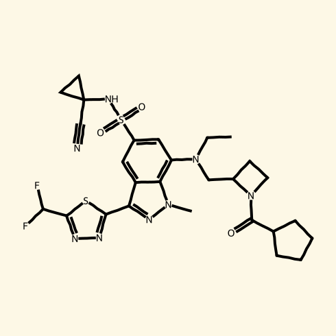 CCN(CC1CCN1C(=O)C1CCCC1)c1cc(S(=O)(=O)NC2(C#N)CC2)cc2c(-c3nnc(C(F)F)s3)nn(C)c12